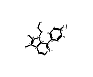 CCCn1c(C)c(C)c2ccnc(-c3ccc(Cl)cc3)c21